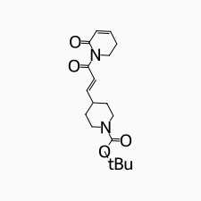 CC(C)(C)OC(=O)N1CCC(/C=C/C(=O)N2CCC=CC2=O)CC1